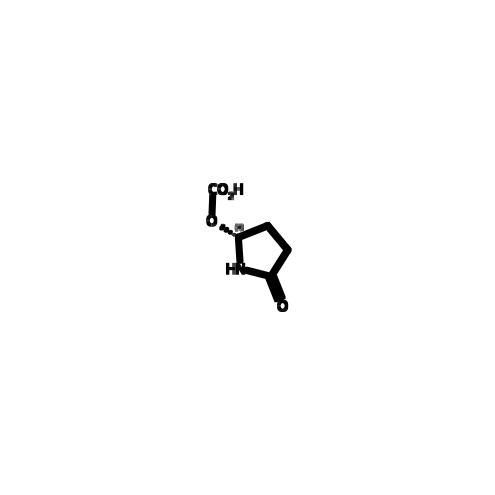 O=C1CC[C@@H](OC(=O)O)N1